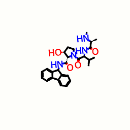 CN[C@@H](C)C(=O)N[C@H](C(=O)N1CC[C@@H](O)[C@H]1C(=O)NC1c2ccccc2-c2ccccc21)C(C)C